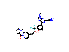 CN1CCCC1C(=O)N1CCC(CCOc2ccc(-c3nc(C#N)nc4c3ncn4C)cc2C(F)(F)F)CC1